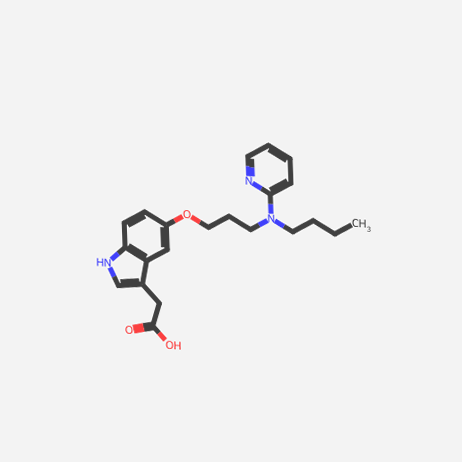 CCCCN(CCCOc1ccc2[nH]cc(CC(=O)O)c2c1)c1ccccn1